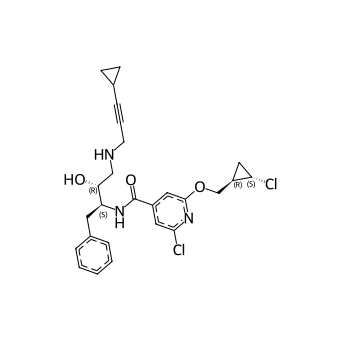 O=C(N[C@@H](Cc1ccccc1)[C@H](O)CNCC#CC1CC1)c1cc(Cl)nc(OC[C@H]2C[C@@H]2Cl)c1